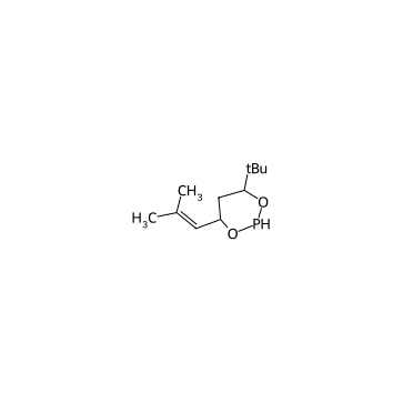 CC(C)=CC1CC(C(C)(C)C)OPO1